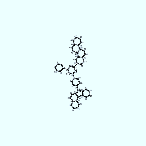 c1ccc(-c2nc(-c3ccc(-n4c5ccccc5c5c6ccccc6ccc54)cc3)nc(-c3ccc4ccc5c6ccccc6ccc5c4c3)n2)cc1